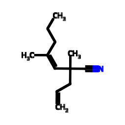 C=CCC(C)(C#N)C=C(C)CCC